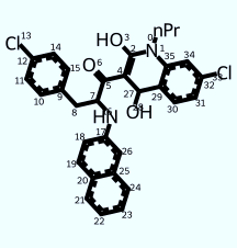 CCCN1C(O)=C(C(=O)C(Cc2ccc(Cl)cc2)Nc2ccc3ccccc3c2)C(O)c2ccc(Cl)cc21